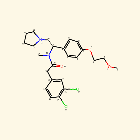 COCCOc1ccc([C@@H](CN2CCCC2)N(C)C(=O)Cc2ccc(Cl)c(Cl)c2)cc1